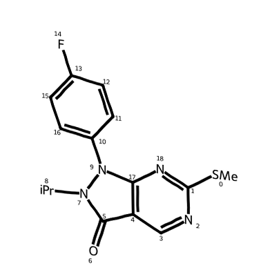 CSc1ncc2c(=O)n(C(C)C)n(-c3ccc(F)cc3)c2n1